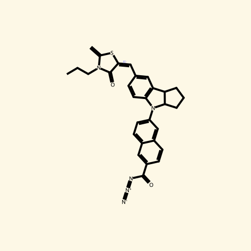 C=c1s/c(=C/c2ccc3c(c2)C2CCCC2N3c2ccc3cc(C(=O)N=[N+]=[N-])ccc3c2)c(=O)n1CCC